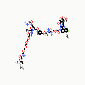 C/C=C\C(CCCC)OCC(=O)NCCOCCOCCOCCOCCC(=O)N[C@H](C(=O)N[C@@H](CCCNC(N)=O)C(=O)Nc1ccc(COC(=O)NCC(=O)NCOCC(=O)N[C@H]2CCc3c(C)c(F)cc4nc5c(c2c34)Cn2c-5cc3c(c2=O)COC(=O)[C@]3(O)CC)cc1)C(C)C